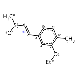 CCOc1cc(/C=C/[S+](C)[O-])ccc1C